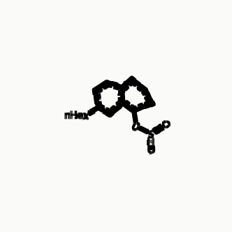 CCCCCCc1ccc2cccc(O[SH](=O)=O)c2c1